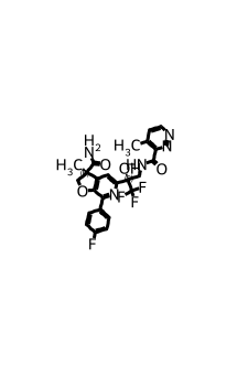 Cc1ccnnc1C(=O)NC[C@](O)(c1cc2c(c(-c3ccc(F)cc3)n1)OC[C@]2(C)C(N)=O)C(F)(F)F